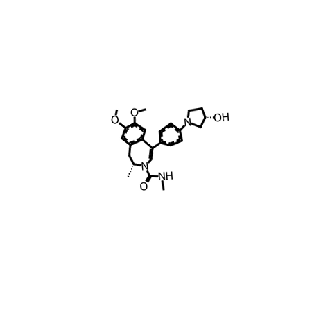 CNC(=O)N1C=C(c2ccc(N3CC[C@H](O)C3)cc2)c2cc(OC)c(OC)cc2C[C@H]1C